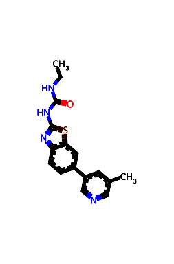 CCNC(=O)Nc1nc2ccc(-c3cncc(C)c3)cc2s1